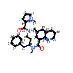 Cc1cc(C(=O)N(C)C(CCNC(=O)c2cccn2C)Cc2ccccc2)c2ncccc2c1